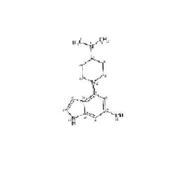 CN(C)C1CCN(c2cc(C(C)(C)C)cc3[nH]ccc23)CC1